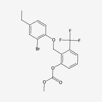 CCc1ccc(OCc2c(OC(=O)OC)cccc2C(F)(F)F)c(Br)c1